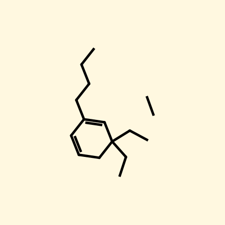 CC.CCCCC1=CC(CC)(CC)CC=C1